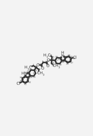 CCC(CC)(OC(=O)CC(=O)OC(CC)(CC)C1CCc2c([nH]c3cc(Cl)ccc23)C1)C1CCc2c([nH]c3cc(Cl)ccc23)C1